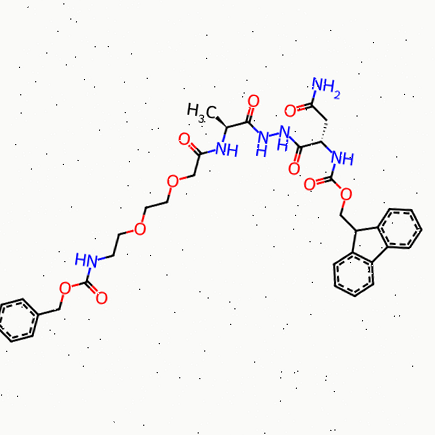 C[C@H](NC(=O)COCCOCCNC(=O)OCc1ccccc1)C(=O)NNC(=O)[C@H](CC(N)=O)NC(=O)OCC1c2ccccc2-c2ccccc21